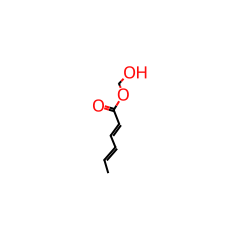 CC=CC=CC(=O)OCO